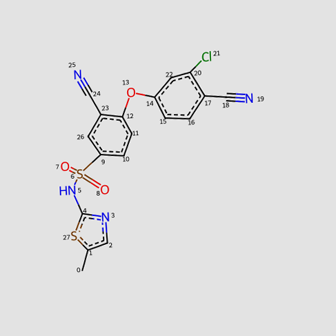 Cc1cnc(NS(=O)(=O)c2ccc(Oc3ccc(C#N)c(Cl)c3)c(C#N)c2)s1